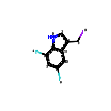 Fc1cc(F)c2[nH]cc(CI)c2c1